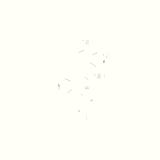 COc1c([C@H]2[C@H](C(=O)Nc3cncc(C(N)=O)c3)O[C@@](C)(C(F)(F)F)[C@H]2C)ccc(F)c1F